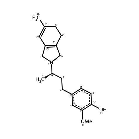 COc1cc(CC[C@@H](C)N2CC3=C(CCC(C(F)(F)F)=C3)C2)ccc1O